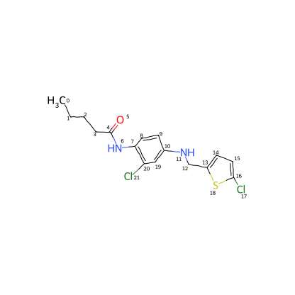 CCCCC(=O)Nc1ccc(NCc2ccc(Cl)s2)cc1Cl